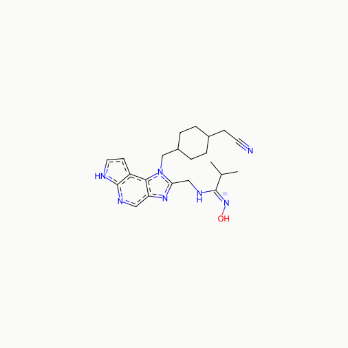 CC(C)/C(=N/O)NCc1nc2cnc3[nH]ccc3c2n1CC1CCC(CC#N)CC1